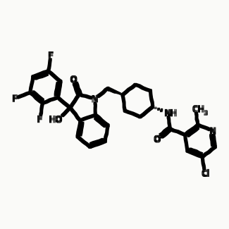 Cc1ncc(Cl)cc1C(=O)N[C@H]1CC[C@H](CN2C(=O)C(O)(c3cc(F)cc(F)c3F)c3ccccc32)CC1